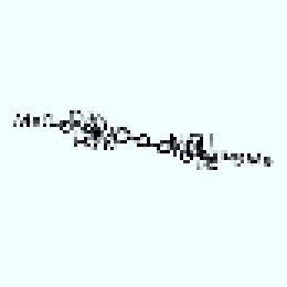 COCCOC(=O)N[C@H](C(=O)N1CCC[C@H]1c1nc2cc(-c3ccc(-c4ccc5[nH]c([C@@H]6CCCN6C(=O)[C@@H](NC(=O)OCCOC)C(C)C)nc5c4)cc3)ccc2[nH]1)C(C)C